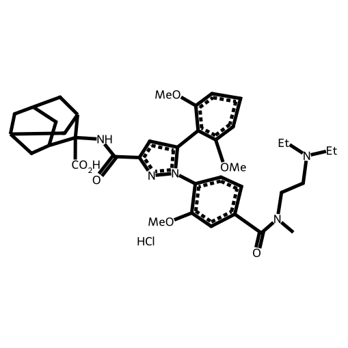 CCN(CC)CCN(C)C(=O)c1ccc(-n2nc(C(=O)NC3(C(=O)O)C4CC5CC(C4)CC3C5)cc2-c2c(OC)cccc2OC)c(OC)c1.Cl